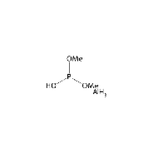 COP(O)OC.[AlH3]